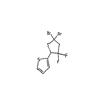 FC1(F)CC(Br)(Br)SC1c1cccs1